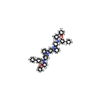 c1ccc(-c2ccc(N(c3ccc4c(c3)c3cccc5c6cc7c(cc6n4c35)c3cccc4c5cc(N(c6ccc(-c8ccccc8)cc6)c6cccc8c6oc6ccccc68)ccc5n7c43)c3cccc4c3oc3ccccc34)cc2)cc1